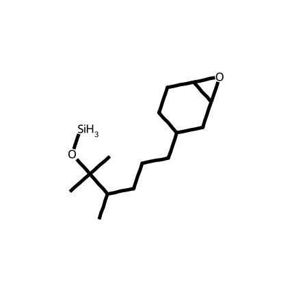 CC(CCCC1CCC2OC2C1)C(C)(C)O[SiH3]